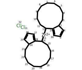 C1=CC2CCCCCCCCC[CH]([Zr+2][CH]3CCCCCCCCCC4C=CC=C43)C2=C1.[Cl-].[Cl-]